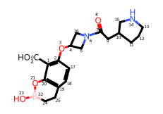 O=C(O)c1c(OC2CN(C(=O)CC3CCCNC3)C2)ccc2c1OB(O)CC2